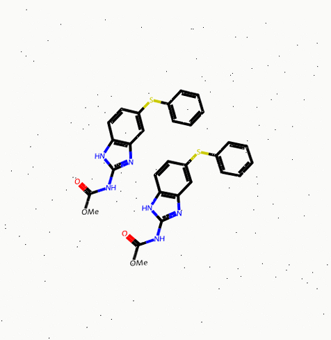 COC(=O)Nc1nc2cc(Sc3ccccc3)ccc2[nH]1.COC(=O)Nc1nc2cc(Sc3ccccc3)ccc2[nH]1